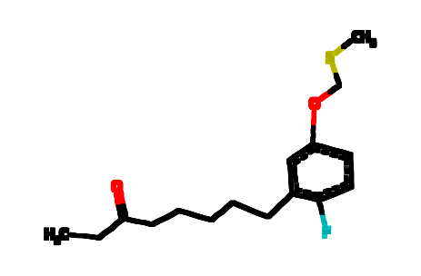 CCC(=O)CCCCCc1cc(OCSC)ccc1F